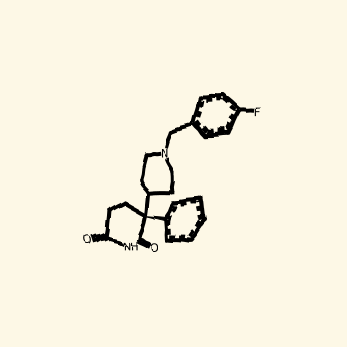 O=C1CC[C@](c2ccccc2)(C2CCN(Cc3ccc(F)cc3)CC2)C(=O)N1